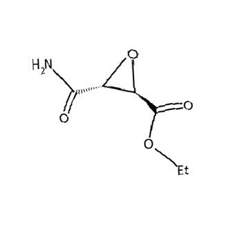 CCOC(=O)[C@@H]1O[C@H]1C(N)=O